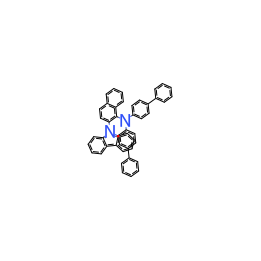 c1ccc(-c2ccc(N(c3ccc(-c4ccccc4)cc3)c3c(-n4c5ccccc5c5ccccc54)ccc4ccccc34)cc2)cc1